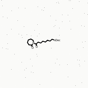 CCCCCCCCCCCCCCCCCC(=O)N1CCCCCC1=O